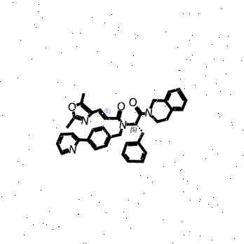 Cc1nc(/C=C/C(=O)N(Cc2ccc(-c3ccccn3)cc2)[C@@H](Cc2ccccc2)C(=O)N2CCc3ccccc3C2)c(C)o1